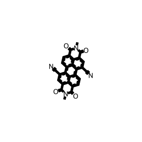 CN1C(=O)c2ccc3c4c(C#N)cc5c6c(ccc(c7c(C#N)cc(c2c37)C1=O)c64)C(=O)N(C)C5=O